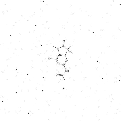 C=C1N(C)c2c(Cl)cc(NC(C)=O)cc2C1(C)C